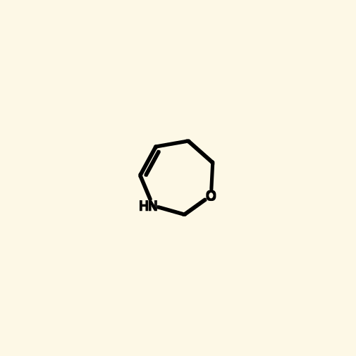 C1=CNCOCC1